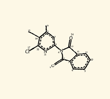 Cc1cc(N2C(=O)c3ccccc3C2=O)nc(Cl)c1C